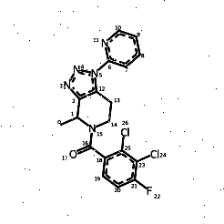 CC1c2nnn(-c3ccccn3)c2CCN1C(=O)c1ccc(F)c(Cl)c1Cl